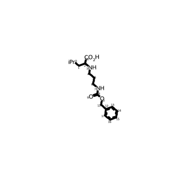 CC(C)CC(NCCCNC(=O)OCc1ccccc1)C(=O)O